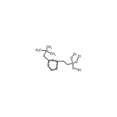 CCO[Si](CCc1cccc(C[N+](C)(C)C)c1)(OCC)OCC